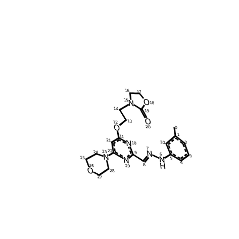 Cc1cccc(NN=Cc2nc(OCCN3CCOC3=O)cc(N3CCOCC3)n2)c1